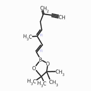 C#CC(=C)C/C=C(C)/C=C/B1OC(C)(C)C(C)(C)O1